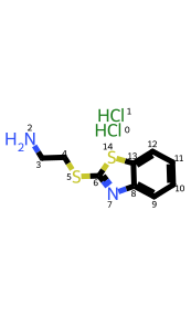 Cl.Cl.NCCSc1nc2ccccc2s1